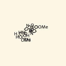 COc1ccc(S(=O)(=O)c2cnc3ccc(C(=O)NC(C)C(O)C(O)C(CO)OC)cc3c2-n2nnc3ccccc32)cc1